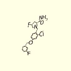 NC(=O)[C@@H]1C[C@H](F)CN1Cc1ccc(OCc2cccc(F)c2)cc1Cl